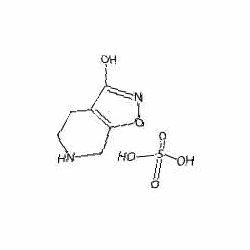 O=S(=O)(O)O.Oc1noc2c1CCNC2